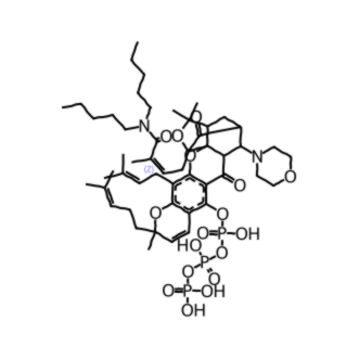 CCCCCN(CCCCC)C(=O)/C(C)=C\CC12OC(C)(C)C3CC(C1=O)C(N1CCOCC1)C1C(=O)c4c(OP(=O)(O)OP(=O)(O)OP(=O)(O)O)c5c(c(CC=C(C)C)c4OC132)OC(C)(CCC=C(C)C)C=C5